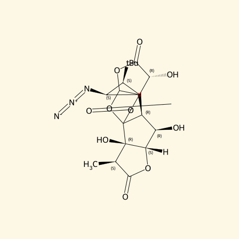 C[C@@H]1C(=O)O[C@H]2[C@H](O)[C@]34C5OC(=O)C3(OC3OC(=O)[C@H](O)C34[C@H](C(C)(C)C)[C@@H]5N=[N+]=[N-])[C@@]12O